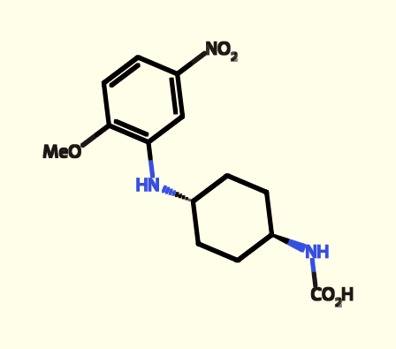 COc1ccc([N+](=O)[O-])cc1N[C@H]1CC[C@H](NC(=O)O)CC1